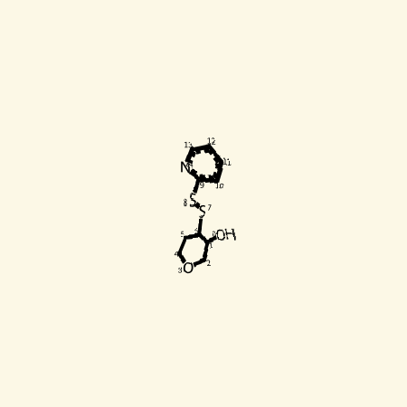 OC1COCCC1SSc1ccccn1